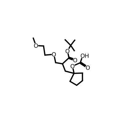 COCCOCC(CC1(OC(=O)O)CCCC1)C(=O)OC(C)(C)C